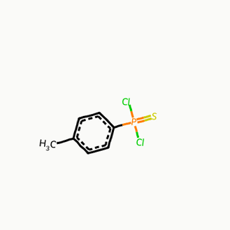 Cc1ccc(P(=S)(Cl)Cl)cc1